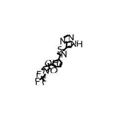 O=C1N(CC(F)(F)F)CCC1(O)c1cccc(-c2csc(-c3c[nH]c4nccnc34)n2)c1